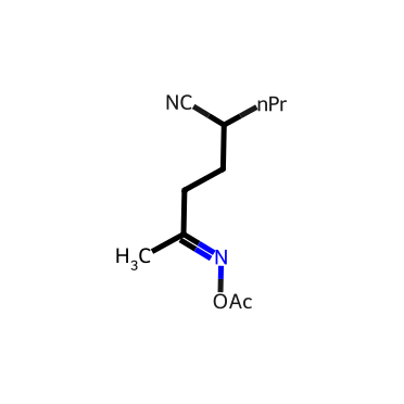 CCCC(C#N)CCC(C)=NOC(C)=O